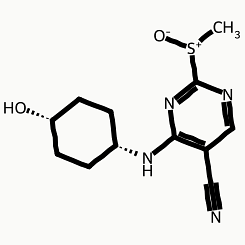 C[S+]([O-])c1ncc(C#N)c(N[C@H]2CC[C@@H](O)CC2)n1